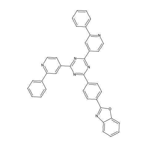 c1ccc(-c2cc(-c3nc(-c4ccc(-c5nc6ccccc6o5)cc4)nc(-c4ccnc(-c5ccccc5)c4)n3)ccn2)cc1